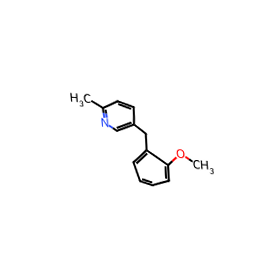 COc1ccccc1Cc1ccc(C)nc1